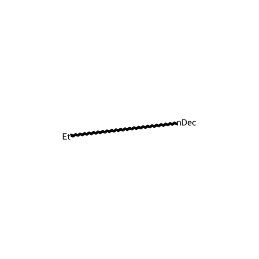 CCC=CCCCCCCCCCCCCCCCCCCCCCCCCCCCCCCCCCCCCCCCCCCCCCCCCCCCCCCCC